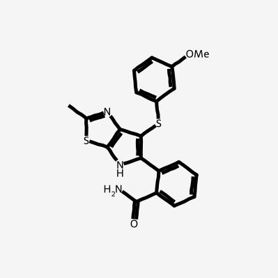 COc1cccc(Sc2c(-c3ccccc3C(N)=O)[nH]c3sc(C)nc23)c1